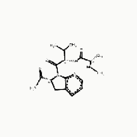 CN[C@@H](C)C(=O)N[C@H](C(=O)N1c2ncccc2C[C@@H]1C(N)=O)C(C)C